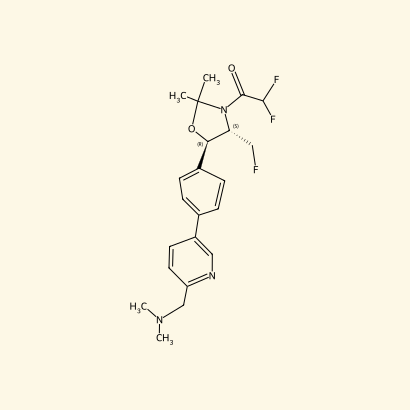 CN(C)Cc1ccc(-c2ccc([C@H]3OC(C)(C)N(C(=O)C(F)F)[C@@H]3CF)cc2)cn1